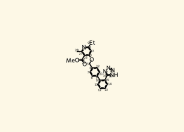 CCc1cc(OCc2ccc(-c3ccccc3-c3nnn[nH]3)cc2)c(C(=O)OC)c(C)n1